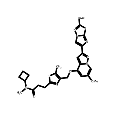 COc1cc(OCc2nc(CCC(=O)N(C)C3CCC3)sc2C)c2cc(-c3cn4nc(OC)sc4n3)nn2c1